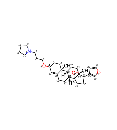 C[C@]12CCC(OCCCN3CCCC3)C=C1CC[C@@H]1[C@H]2CC[C@]2(C)C(c3ccoc3)CC[C@@]12O